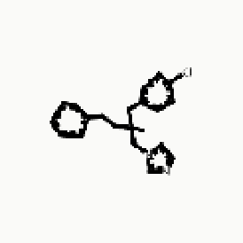 CC(CCc1ccccc1)(Cc1ccc(Cl)cc1)Cn1ccnc1